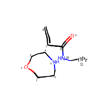 C1COCCN1.C=CC(=O)NCCC